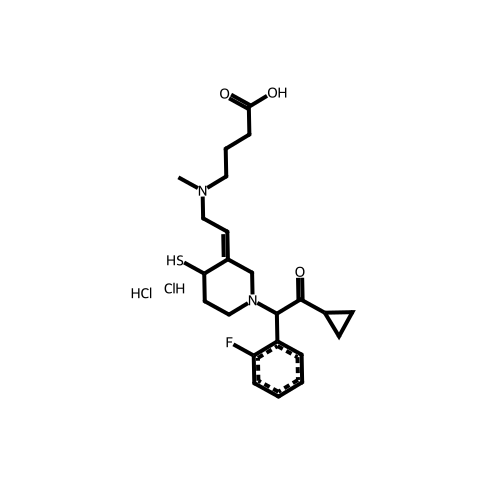 CN(C/C=C1/CN(C(C(=O)C2CC2)c2ccccc2F)CCC1S)CCCC(=O)O.Cl.Cl